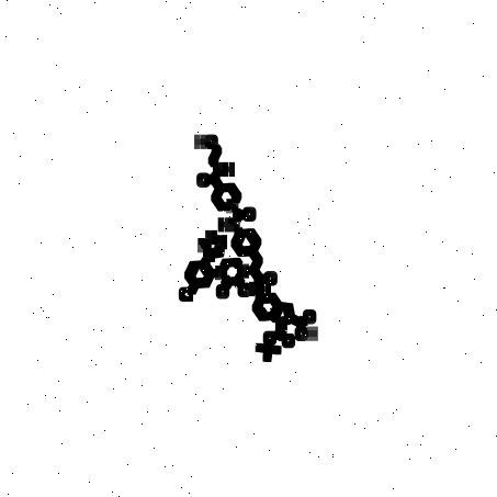 CC(C)(C)OC(=O)n1c(C(=O)O)cc2cc(NC(=O)C(Cc3ccc(NC(=O)N4CCC(C(=O)NCCO)CC4)cc3)N3CCN(c4cc(Cl)ccc4-n4cnnn4)C(=O)C3=O)ccc21